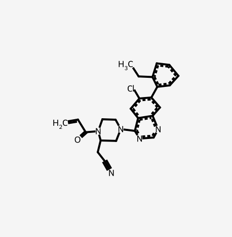 C=CC(=O)N1CCN(c2ncnc3cc(-c4ccccc4CC)c(Cl)cc23)CC1CC#N